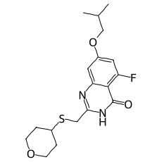 CC(C)COc1cc(F)c2c(=O)[nH]c(CSC3CCOCC3)nc2c1